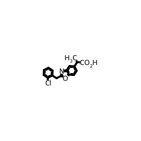 CC(C(=O)O)c1ccc2oc(Cc3ccccc3Cl)nc2c1